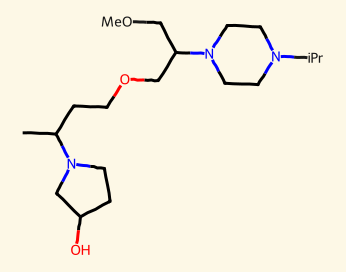 COCC(COCCC(C)N1CCC(O)C1)N1CCN(C(C)C)CC1